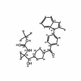 Cc1cc2ccccc2n1-c1ccc(C(=O)N2CCN(C(O)C3(NC(=O)OC(C)(C)C)CC3)CC2)cc1